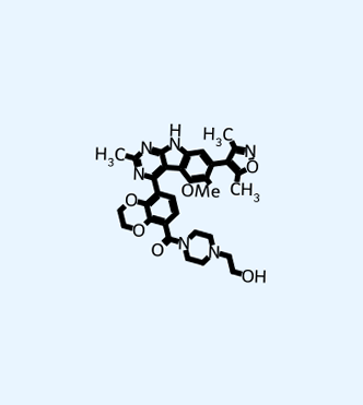 COc1cc2c(cc1-c1c(C)noc1C)[nH]c1nc(C)nc(-c3ccc(C(=O)N4CCN(CCO)CC4)c4c3OCCO4)c12